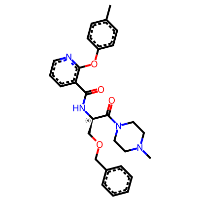 Cc1ccc(Oc2ncccc2C(=O)N[C@H](COCc2ccccc2)C(=O)N2CCN(C)CC2)cc1